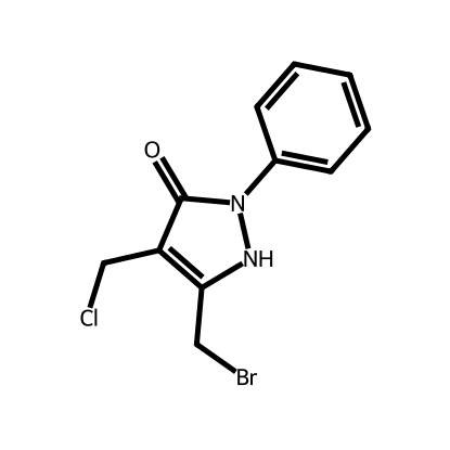 O=c1c(CCl)c(CBr)[nH]n1-c1ccccc1